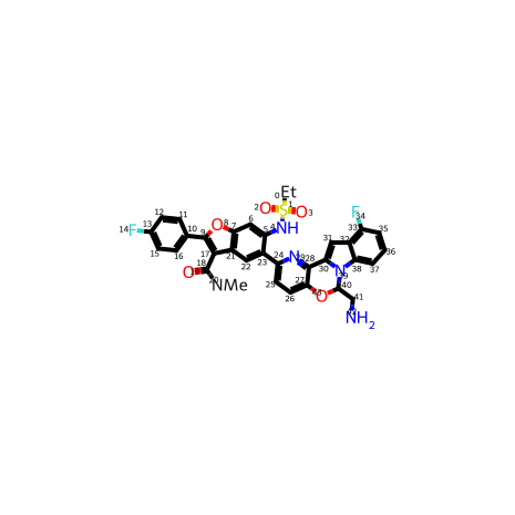 CCS(=O)(=O)Nc1cc2oc(-c3ccc(F)cc3)c(C(=O)NC)c2cc1-c1ccc2c(n1)-c1cc3c(F)cccc3n1C(CN)O2